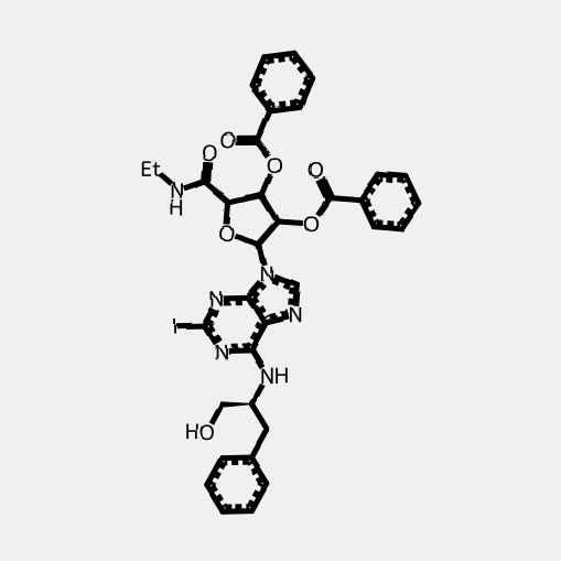 CCNC(=O)C1OC(n2cnc3c(N[C@H](CO)Cc4ccccc4)nc(I)nc32)C(OC(=O)c2ccccc2)C1OC(=O)c1ccccc1